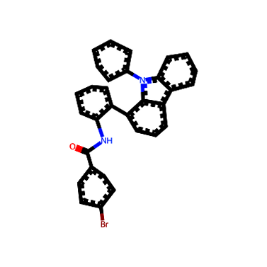 O=C(Nc1ccccc1-c1cccc2c3ccccc3n(-c3ccccc3)c12)c1ccc(Br)cc1